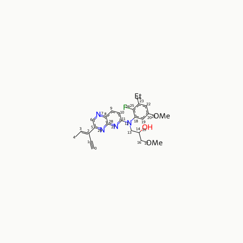 C#C/C(=C\C)c1cnc2ccc(N(CC(O)COC)c3cc(OC)cc(CC)c3F)nc2n1